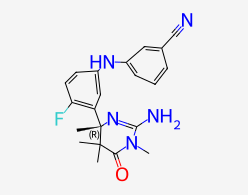 CN1C(=O)C(C)(C)[C@](C)(c2cc(Nc3cccc(C#N)c3)ccc2F)N=C1N